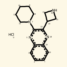 Cl.c1ccc2nc(N3CCCCC3)c(C3CNC3)nc2c1